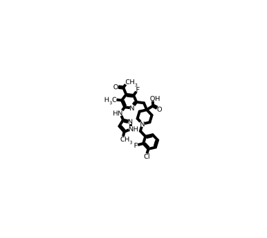 CC(=O)c1c(C)c(Nc2cc(C)[nH]n2)nc(CC2(C(=O)O)CCN(Cc3cccc(Cl)c3F)CC2)c1F